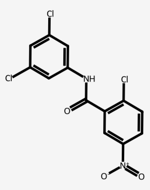 O=C(Nc1cc(Cl)cc(Cl)c1)c1cc([N+](=O)[O-])ccc1Cl